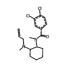 C=CCN(C)C1CCCCC1N(C)C(=O)c1ccc(Cl)c(Cl)c1